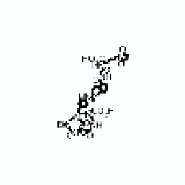 C=C(Nc1ccc(CC2CN(CC(=O)O)CCNCC(=O)OC3OC(=O)CN(CC)CCN2CC(=O)O3)cc1)N1CCc2c(cccc2C(=O)NCC(=O)N[C@@H](CCCCN2C(=O)C=CC2=O)C(=O)O)C1